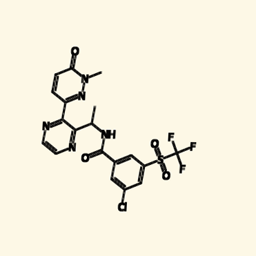 CC(NC(=O)c1cc(Cl)cc(S(=O)(=O)C(F)(F)F)c1)c1nccnc1-c1ccc(=O)n(C)n1